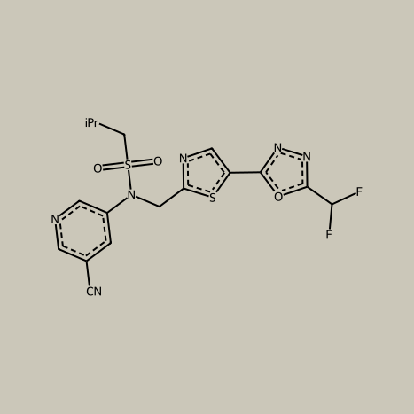 CC(C)CS(=O)(=O)N(Cc1ncc(-c2nnc(C(F)F)o2)s1)c1cncc(C#N)c1